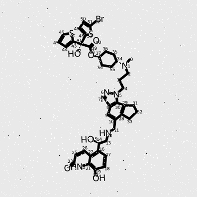 CN(CCCn1nnc2cc(CNC[C@H](O)c3ccc(O)c4[nH]c(=O)ccc34)c3c(c21)CCC3)[C@H]1CC[C@H](OC(=O)[C@@](O)(c2cccs2)c2ccc(Br)s2)CC1